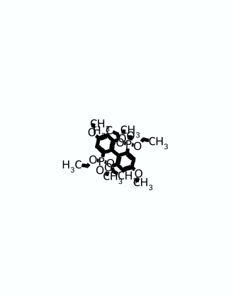 CCOP(=O)(OCC)c1cc(OC)cc(OC)c1-c1c(OC)cc(OC)cc1P(=O)(OCC)OCC